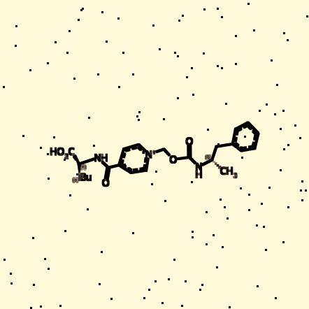 CC[C@H](C)[C@H](NC(=O)c1cc[n+](COC(=O)N[C@@H](C)Cc2ccccc2)cc1)C(=O)O